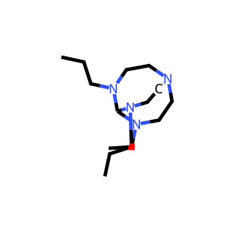 CCCN1CCN2CCN(CC)C1N(CCC)CC2